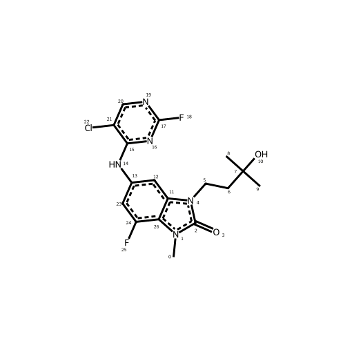 Cn1c(=O)n(CCC(C)(C)O)c2cc(Nc3nc(F)ncc3Cl)cc(F)c21